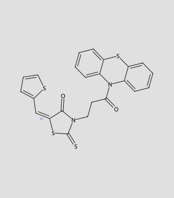 O=C1/C(=C\c2cccs2)SC(=S)N1CCC(=O)N1c2ccccc2Sc2ccccc21